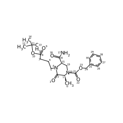 C[C@H]1C(=O)N(CCCC(=O)OC(C)(C)C)C(C(N)=O)CN1C(=O)OCc1ccccc1